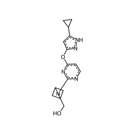 OCC12CC(C1)N(c1nccc(Oc3cc(C4CC4)[nH]n3)n1)C2